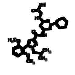 COc1cccc(OC)c1-c1cc(C(=O)NC(CCC2CCCCC2)CC(=O)NCC(=O)O)nn1CC(C)C